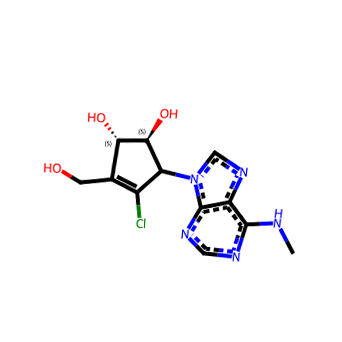 CNc1ncnc2c1ncn2C1C(Cl)=C(CO)[C@H](O)[C@H]1O